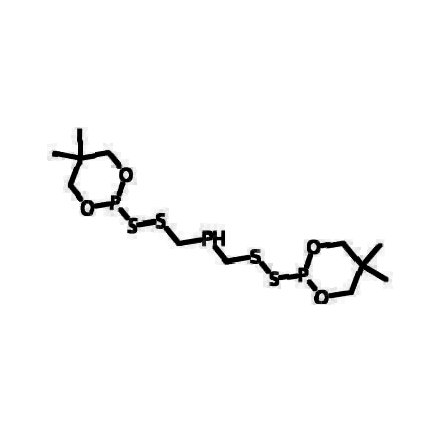 CC1(C)COP(SSCPCSSP2OCC(C)(C)CO2)OC1